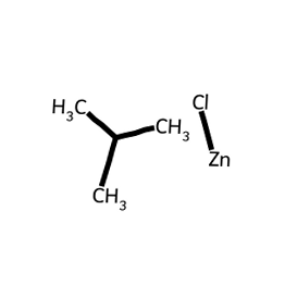 CC(C)C.[Cl][Zn]